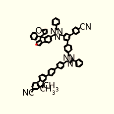 CC1(C)c2cc(C#N)ccc2-c2ccc(-c3ccc(-c4ccc(-c5nc(-c6ccccc6)nc(-c6ccc(-c7cc(-c8ccc(C#N)cc8)cc(-c8nc(-c9ccccc9)nc(-c9ccc%10c(c9)C9(c%11ccccc%11Oc%11ccccc%119)c9ccccc9-%10)n8)c7)cc6)n5)cc4)cc3)cc21